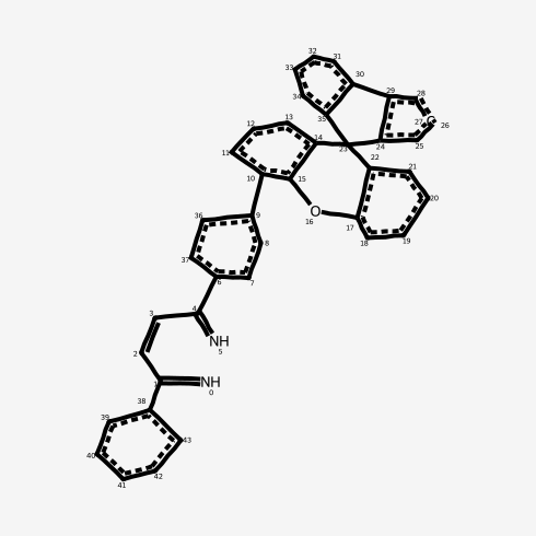 N=C(/C=C\C(=N)c1ccc(-c2cccc3c2Oc2ccccc2C32c3ccccc3-c3ccccc32)cc1)c1ccccc1